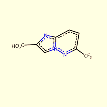 O=C(O)c1cn2nc(C(F)(F)F)ccc2n1